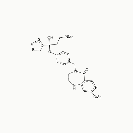 CNCC[C@@](O)(Oc1ccc(CN2CCNc3cc(OC)ncc3C2=O)cc1)c1cccs1